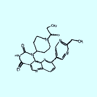 O=C(CO)N1CCC(n2c(=O)[nH]c(=O)c3cnc4ccc(-c5cnc(CO)nc5)nc4c32)CC1